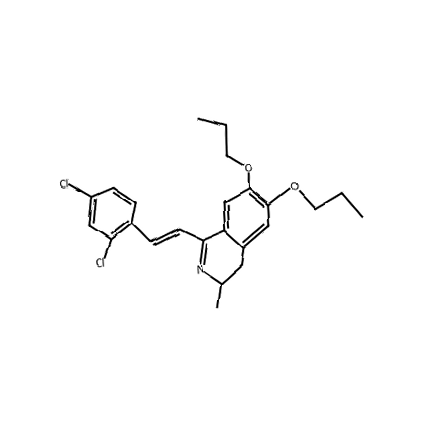 CCCOc1cc2c(cc1OCCC)C(/C=C/c1ccc(Cl)cc1Cl)=NC(C)C2